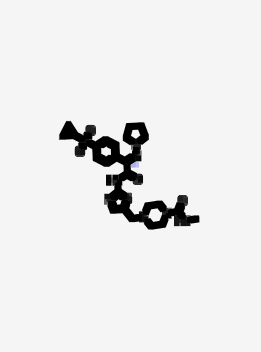 CNC(=O)N1CCN(Cc2cnc(NC(=O)/C(=N/N3CCCC3)c3ccc(S(=O)(=O)C4CC4)cc3)s2)CC1